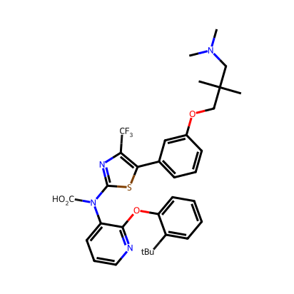 CN(C)CC(C)(C)COc1cccc(-c2sc(N(C(=O)O)c3cccnc3Oc3ccccc3C(C)(C)C)nc2C(F)(F)F)c1